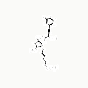 O=C(O)CCCC=CC[C@@H]1[C@@H](CCC(O)C#Cc2cccc(F)c2)[C@H](O)C[C@@H]1O